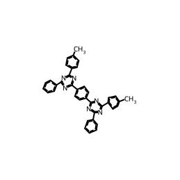 Cc1ccc(-c2nc(-c3ccccc3)nc(-c3ccc(-c4nc(-c5ccccc5)nc(-c5ccc(C)cc5)n4)cc3)n2)cc1